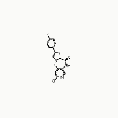 Fc1ccc(C2=CN3Cc4cc(Cl)ncc4NC(=S)C3C2)cc1